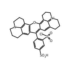 O=S(=O)(O)c1ccc(C2=c3cc4c5c(c3Oc3c2cc2c6c3CCCN6CCC2)CCC[N+]=5CCC4)c(S(=O)(=O)Cl)c1